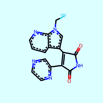 O=C1NC(=O)C(c2cn(C[18F])c3ncccc23)=C1c1cnccn1